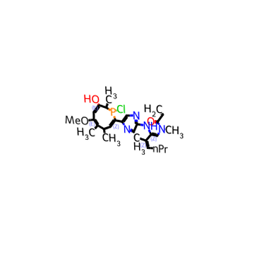 C=CC(=O)N(C)/C=C(Nc1cnc(/C2=C/C(C)/C(C)=C(OC)\C=C(\O)C(C)P2Cl)cn1)/C(C)=C\CCC